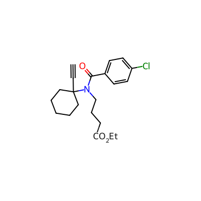 C#CC1(N(CCCC(=O)OCC)C(=O)c2ccc(Cl)cc2)CCCCC1